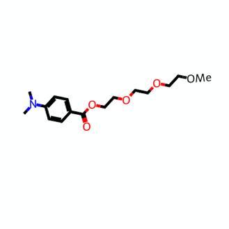 COCCOCCOCCOC(=O)c1ccc(N(C)C)cc1